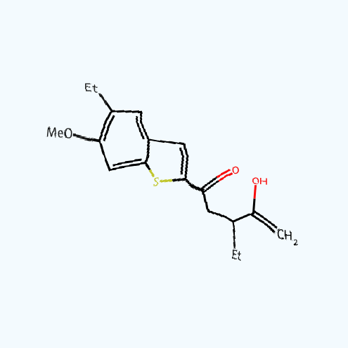 C=C(O)C(CC)CC(=O)c1cc2cc(CC)c(OC)cc2s1